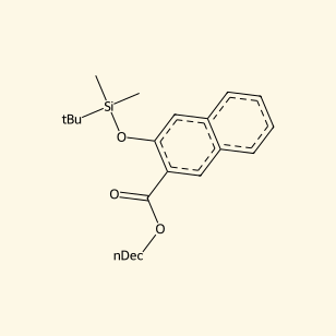 CCCCCCCCCCOC(=O)c1cc2ccccc2cc1O[Si](C)(C)C(C)(C)C